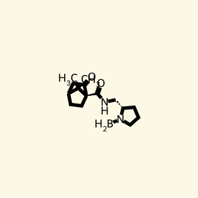 BN1CCC[C@H]1CNC(=O)[C@]12CCC(CC1=O)C2(C)C